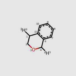 [2H]C1COC([2H])c2ccccc21